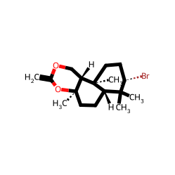 C=C1OC[C@@H]2[C@@]3(C)CC[C@H](Br)C(C)(C)[C@@H]3CC[C@@]2(C)O1